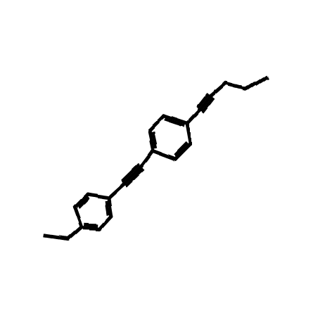 CCCC#Cc1ccc(C#Cc2ccc(CC)cc2)cc1